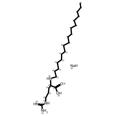 CCCCCCCCCCCCCCCCCCNC(CCCNC(=N)N)C(=O)O.[NaH]